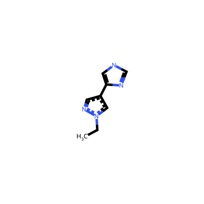 CCn1cc(C2=C[N]C=N2)cn1